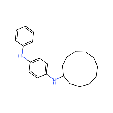 c1ccc(Nc2ccc(NC3CCCCCCCCCC3)cc2)cc1